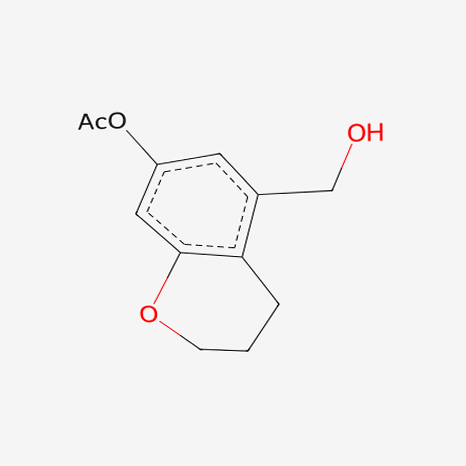 CC(=O)Oc1cc(CO)c2c(c1)OCCC2